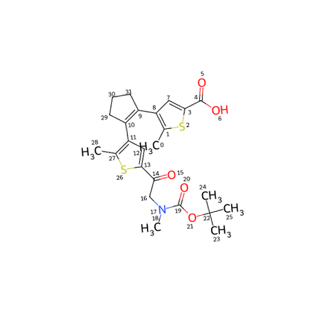 Cc1sc(C(=O)O)cc1C1=C(c2cc(C(=O)CN(C)C(=O)OC(C)(C)C)sc2C)CCC1